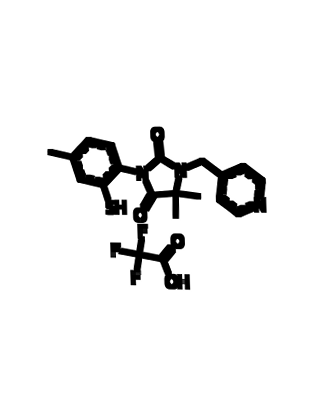 Cc1ccc(N2C(=O)N(Cc3ccncc3)C(C)(C)C2=O)c(S)c1.O=C(O)C(F)(F)F